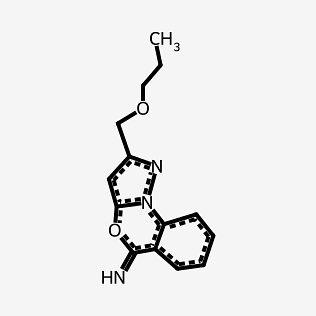 CCCOCc1cc2oc(=N)c3ccccc3n2n1